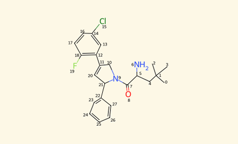 CC(C)(C)CC(N)C(=O)N1CC(c2cc(Cl)ccc2F)=CC1c1ccccc1